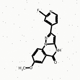 COc1ccc2c(c1)c(=O)[nH]c1cc(-c3ccnc(F)c3)nn12